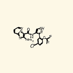 Nc1nc2cccnn2c1C(=O)Nc1c[nH]nc1-c1cc(Cl)ccc1OC(F)F